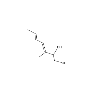 C/C=C/C=C(\C)C(O)CO